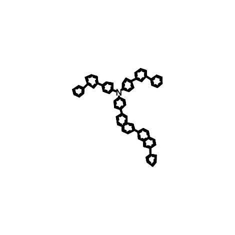 c1ccc(-c2cccc(-c3ccc(N(c4ccc(-c5cccc(-c6ccccc6)c5)cc4)c4ccc(-c5ccc6ccc(-c7ccc8ccc(-c9ccccc9)cc8c7)cc6c5)cc4)cc3)c2)cc1